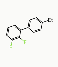 CCc1ccc(-c2cc[c]c(F)c2F)cc1